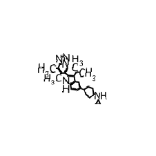 Cc1c(-c2[nH]c3ccc(C4CCC(NC5CC5)CC4)cc3c2C(C)C)cn2ncnc2c1C